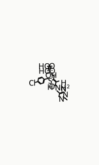 C/C(C(=O)NCc1cnc(C)nc1N)=C(CCOP(=O)(O)O)/[SH]=C(\O)c1ccc(Cl)cc1